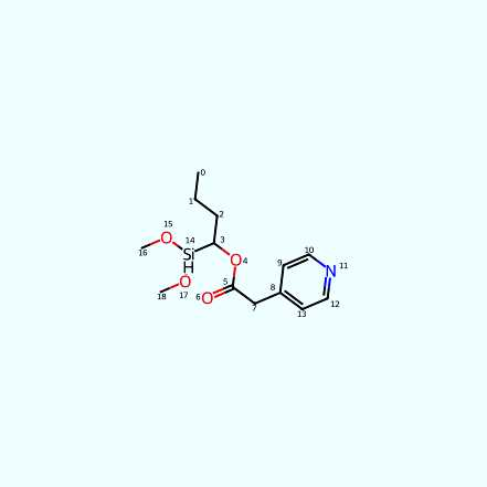 CCCC(OC(=O)Cc1ccncc1)[SiH](OC)OC